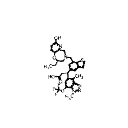 CC[C@@H]1CN(Cc2cc([C@H](CC(=O)O)c3cc(OC(F)(F)F)c4c(nnn4C)c3C)cc3ccsc23)Cc2nc(O)ccc2O1